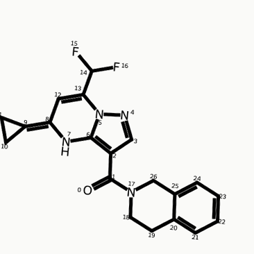 O=C(c1cnn2c1NC(=C1CC1)C=C2C(F)F)N1CCc2ccccc2C1